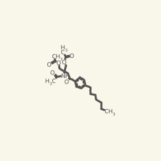 CCCCCCCc1ccc(C(=O)CC(COC(C)=O)(COC(C)=O)NC(C)=O)cc1